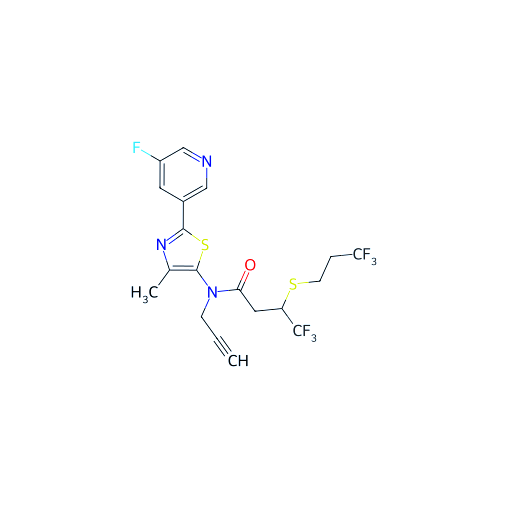 C#CCN(C(=O)CC(SCCC(F)(F)F)C(F)(F)F)c1sc(-c2cncc(F)c2)nc1C